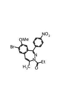 CCC(=O)N1N=C(c2ccc([N+](=O)[O-])cc2)c2cc(OC)c(Br)cc2C=C1C